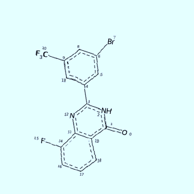 O=c1[nH]c(-c2cc(Br)cc(C(F)(F)F)c2)nc2c(F)cccc12